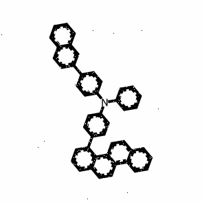 c1ccc(N(c2ccc(-c3ccc4ccccc4c3)cc2)c2ccc(-c3cccc4ccc5c6ccccc6ccc5c34)cc2)cc1